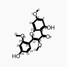 COc1cc(O)c2c(=O)c(OC)c(-c3ccc(O)cc3OC)oc2c1